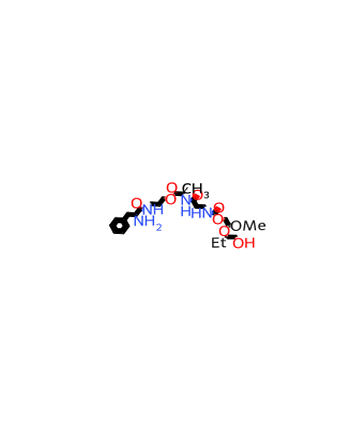 CCC(CO)OC(COC(=O)NCCC(=O)N[C@@H](C)C(=O)OCCCNC(=O)[C@@H](N)Cc1ccccc1)OC